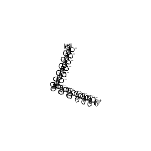 C[N+](C)(C)C.F.[O-]B([O-])[O-].[O-]B([O-])[O-].[O-]B([O-])[O-].[O-]B([O-])[O-].[O-]B([O-])[O-].[O-]B([O-])[O-].[O-]B([O-])[O-].[O-]B([O-])[O-].[O-]B([O-])[O-].[O-]B([O-])[O-].[O-]B([O-])[O-].[O-]B([O-])[O-]